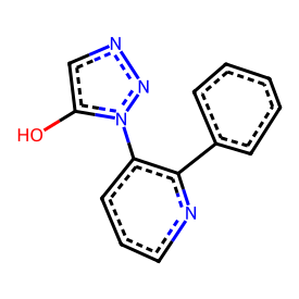 Oc1cnnn1-c1cccnc1-c1ccccc1